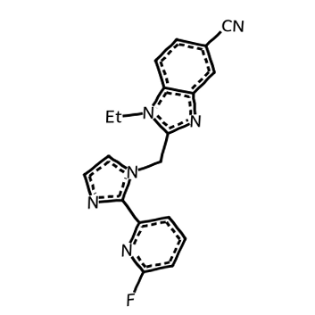 CCn1c(Cn2ccnc2-c2cccc(F)n2)nc2cc(C#N)ccc21